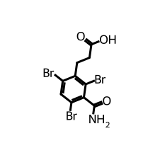 NC(=O)c1c(Br)cc(Br)c(CCC(=O)O)c1Br